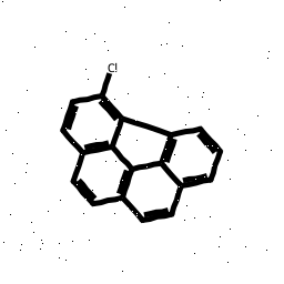 Clc1ccc2ccc3ccc4cccc5c4c3c2c1-5